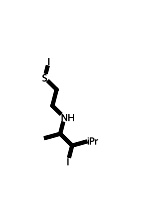 CC(C)C(I)C(C)NCCSI